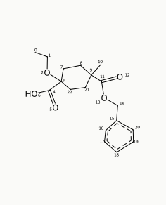 CCOC1(C(=O)O)CCC(C)(C(=O)OCc2ccccc2)CC1